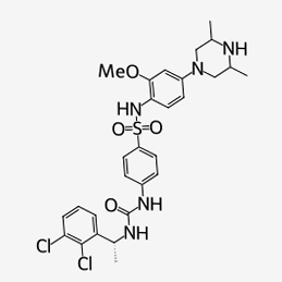 COc1cc(N2CC(C)NC(C)C2)ccc1NS(=O)(=O)c1ccc(NC(=O)N[C@H](C)c2cccc(Cl)c2Cl)cc1